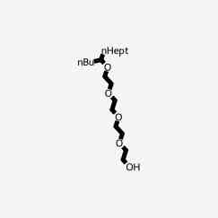 CCCCCCCC(CCCC)OCCOCCOCCOCCO